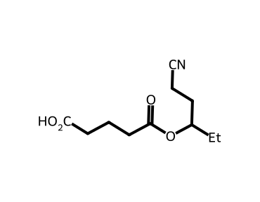 CCC(CCC#N)OC(=O)CCCC(=O)O